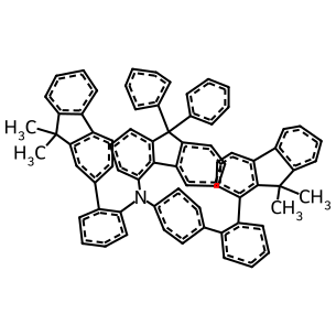 CC1(C)c2ccccc2-c2ccc(-c3ccccc3N(c3ccc(-c4ccccc4-c4cccc5c4C(C)(C)c4ccccc4-5)cc3)c3cccc4c3-c3ccccc3C4(c3ccccc3)c3ccccc3)cc21